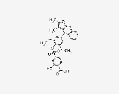 CCc1cc(-c2c3ccccc3cc3oc(C)c(C)c23)cc(CC)c1OS(=O)(=O)c1ccc(C(=O)O)c(O)c1